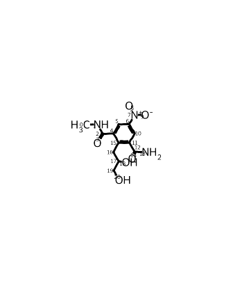 CNC(=O)c1cc([N+](=O)[O-])cc(C(N)=O)c1CC(O)CO